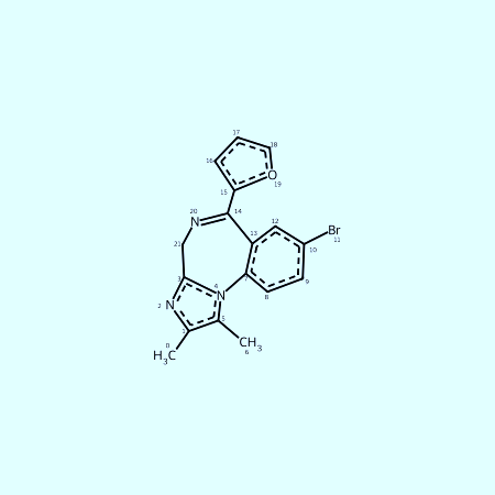 Cc1nc2n(c1C)-c1ccc(Br)cc1C(c1ccco1)=NC2